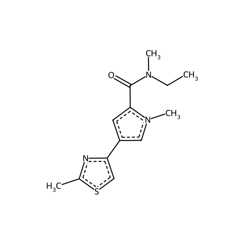 CCN(C)C(=O)c1cc(-c2csc(C)n2)cn1C